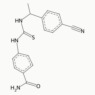 CC(NC(=S)Nc1ccc(C(N)=O)cc1)c1ccc(C#N)cc1